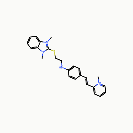 Cn1c(SCCNc2ccc(/C=C/c3cccc[n+]3C)cc2)[n+](C)c2ccccc21